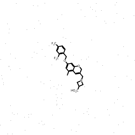 Cc1cc(OCc2ccc(C(F)(F)F)cc2C(F)(F)F)cc2c1C=C(CN1CC(C(=O)O)C1)CO2